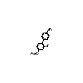 COc1ccc(-c2ccc(C(C)C)cc2)c(F)c1